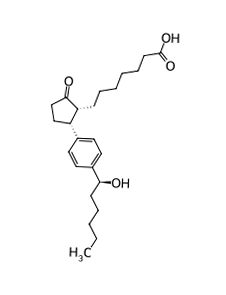 CCCCC[C@H](O)c1ccc([C@@H]2CCC(=O)[C@@H]2CCCCCCC(=O)O)cc1